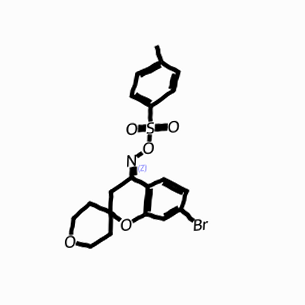 Cc1ccc(S(=O)(=O)O/N=C2/CC3(CCOCC3)Oc3cc(Br)ccc32)cc1